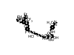 CCn1cc(-c2cc(Cn3ccn(C)c3=N)cc3c2OCC(Cc2ccc(F)c(OCCOCCOCCOCC(=O)N[C@H](C(=O)N4C[C@H](O)C[C@H]4C(=O)NCc4ccc(-c5scnc5C)cc4)C(C)(C)C)c2)C3=O)c(C(F)(F)F)n1.Cl